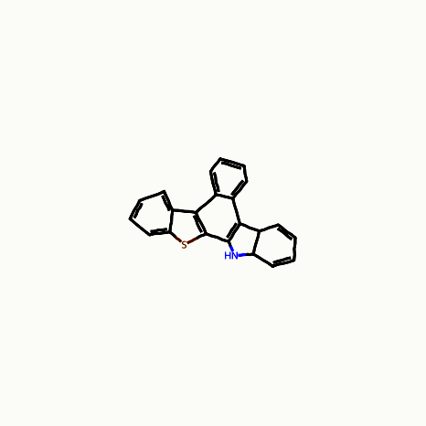 C1=CC2Nc3c(c4ccccc4c4c3sc3ccccc34)C2C=C1